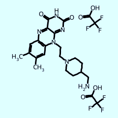 Cc1cc2nc3c(=O)[nH]c(=O)nc-3n(CCN3CCC(CN)CC3)c2cc1C.O=C(O)C(F)(F)F.O=C(O)C(F)(F)F